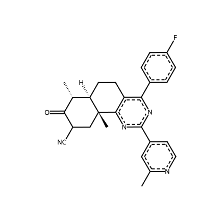 Cc1cc(-c2nc(-c3ccc(F)cc3)c3c(n2)[C@]2(C)CC(C#N)C(=O)[C@H](C)[C@H]2CC3)ccn1